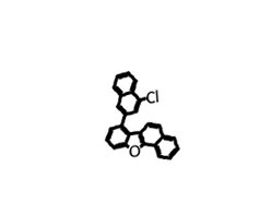 Clc1cc(-c2cccc3oc4c5ccccc5ccc4c23)cc2ccccc12